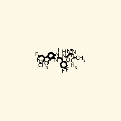 COC(=O)C(CC(F)F)c1ccc2[nH]c([C@@H](NC(=O)c3ncnn3C(C)C)C3CCC(F)(F)CC3)nc2c1F